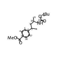 COC(=O)c1ccc(C(C)CC(C)NC(=O)OC(C)(C)C)cc1